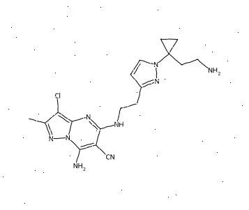 Cc1nn2c(N)c(C#N)c(NCCc3ccn(C4(CCN)CC4)n3)nc2c1Cl